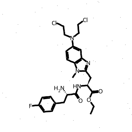 CCOC(=O)[C@H](Cc1nc2cc(N(CCCl)CCCl)ccc2n1C)NC(=O)[C@@H](N)Cc1ccc(F)cc1